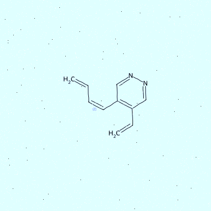 C=C/C=C\c1cnncc1C=C